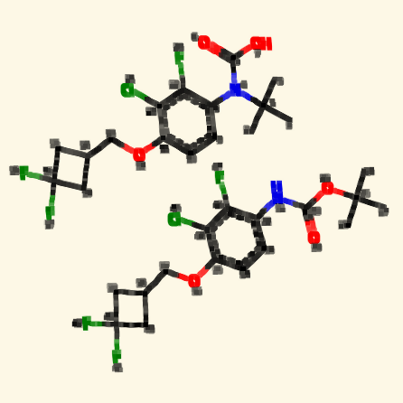 CC(C)(C)N(C(=O)O)c1ccc(OCC2CC(F)(F)C2)c(Cl)c1F.CC(C)(C)OC(=O)Nc1ccc(OCC2CC(F)(F)C2)c(Cl)c1F